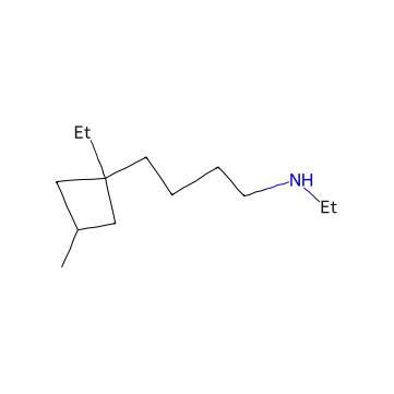 CCNCCCCC1(CC)CC(C)C1